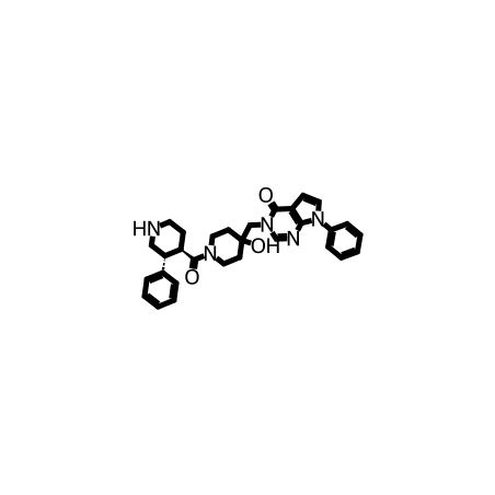 O=C([C@@H]1CCNC[C@H]1c1ccccc1)N1CCC(O)(Cn2cnc3c(ccn3-c3ccccc3)c2=O)CC1